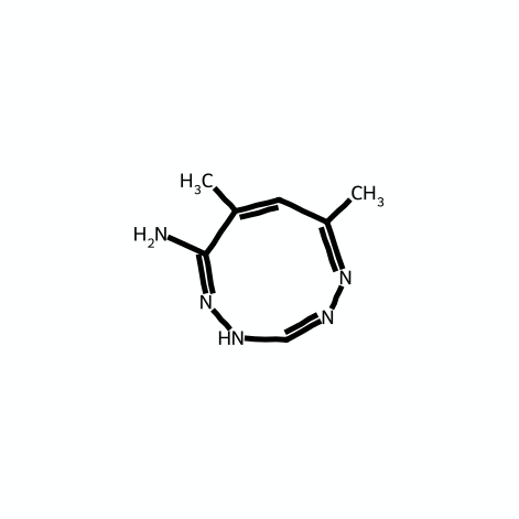 Cc1cc(C)c(N)n[nH]cnn1